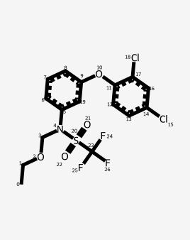 CCOCN(c1cccc(Oc2ccc(Cl)cc2Cl)c1)S(=O)(=O)C(F)(F)F